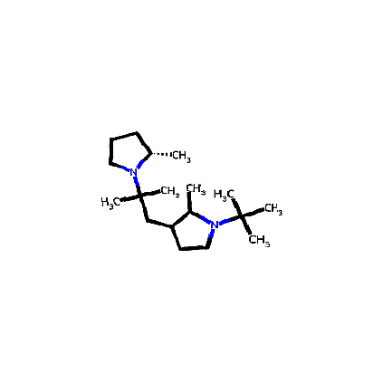 CC1C(CC(C)(C)N2CCC[C@@H]2C)CCN1C(C)(C)C